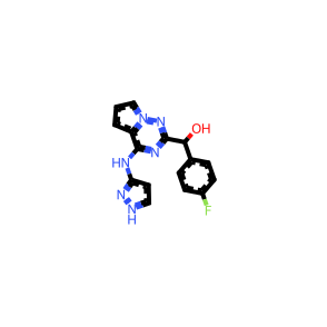 OC(c1ccc(F)cc1)c1nc(Nc2cc[nH]n2)c2cccn2n1